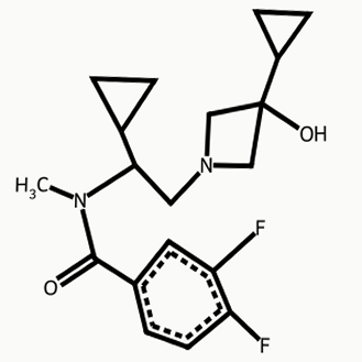 CN(C(=O)c1ccc(F)c(F)c1)C(CN1CC(O)(C2CC2)C1)C1CC1